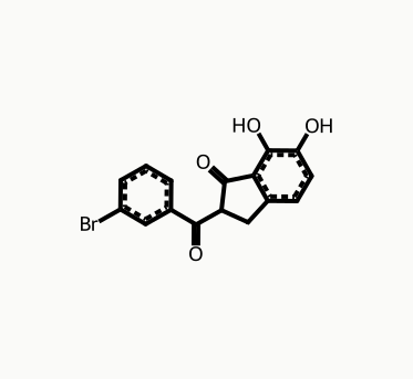 O=C(c1cccc(Br)c1)C1Cc2ccc(O)c(O)c2C1=O